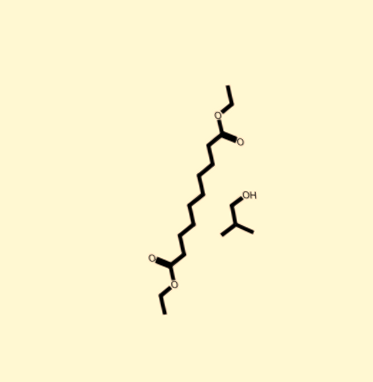 CC(C)CO.CCOC(=O)CCCCCCCCC(=O)OCC